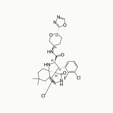 CC1(C)CCC2(CC1)N[C@@H](C(=O)N[C@@H]1CC[C@@H](c3nnco3)OC1)[C@H](c1cccc(Cl)c1F)[C@]21C(=O)Nc2cc(Cl)ccc21